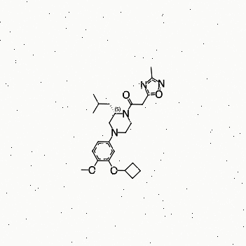 COc1ccc(N2CCN(C(=O)Cc3nc(C)no3)[C@@H](CC(C)C)C2)cc1OC1CCC1